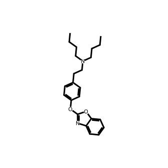 CCCCN(CCCC)CCc1ccc(Oc2nc3ccccc3o2)cc1